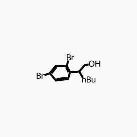 CCCCC(CO)c1ccc(Br)cc1Br